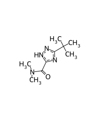 CN(C)C(=O)c1nc(C(C)(C)C)n[nH]1